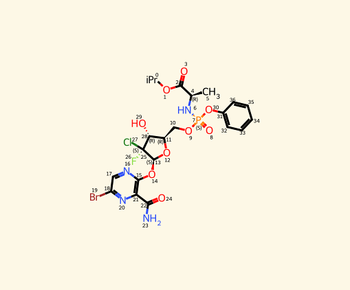 CC(C)OC(=O)[C@@H](C)N[P@](=O)(OC[C@H]1O[C@@H](Oc2ncc(Br)nc2C(N)=O)[C@@](F)(Cl)[C@@H]1O)Oc1ccccc1